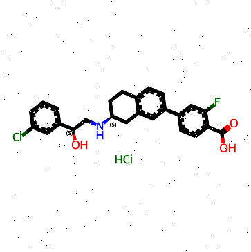 Cl.O=C(O)c1ccc(-c2ccc3c(c2)C[C@@H](NC[C@@H](O)c2cccc(Cl)c2)CC3)cc1F